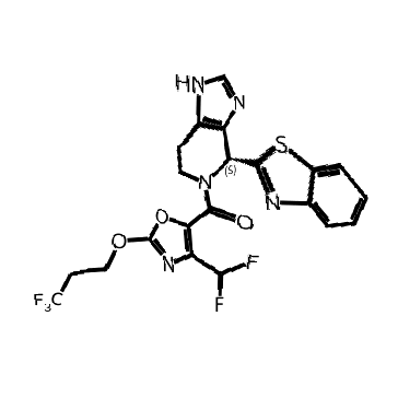 O=C(c1oc(OCCC(F)(F)F)nc1C(F)F)N1CCc2[nH]cnc2[C@H]1c1nc2ccccc2s1